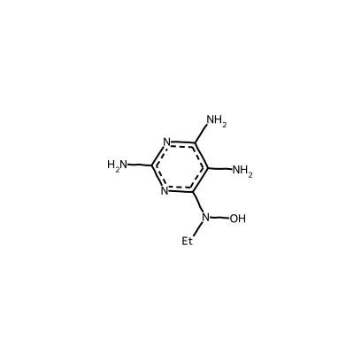 CCN(O)c1nc(N)nc(N)c1N